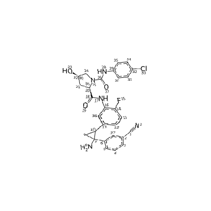 N#Cc1cccc(C2(N)CC2c2ccc(F)c(NC(=O)[C@H]3C[C@@H](O)CN3C(=O)Nc3ccc(Cl)cc3)c2)c1